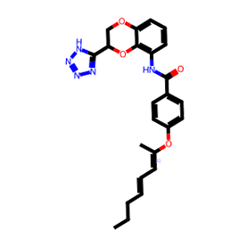 CCCC=C/C=C(\C)Oc1ccc(C(=O)Nc2cccc3c2OC(c2nnn[nH]2)CO3)cc1